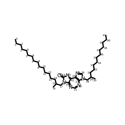 CCCCCCCCCCCCCCCC(C)Cn1c2ncnc3c(ncn3CC(C)CCCCCCCCCCC)c-2nc1=O